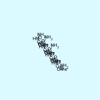 COc1ccc(NC(=O)[C@H](C)NC(=O)c2cc(NC(=O)[C@H](CCCCN)NC(=O)c3cc(NC(=O)[C@H](CCCCN)NC(=O)c4cc(NC(=O)CN)ccc4OC)ccc3OC)ccc2OC)cc1C(N)=O